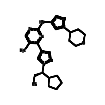 Cc1cnc(Nc2cnn(C3CCOCC3)c2)nc1-c1cnn([C@H](CC#N)C2CCCC2)c1